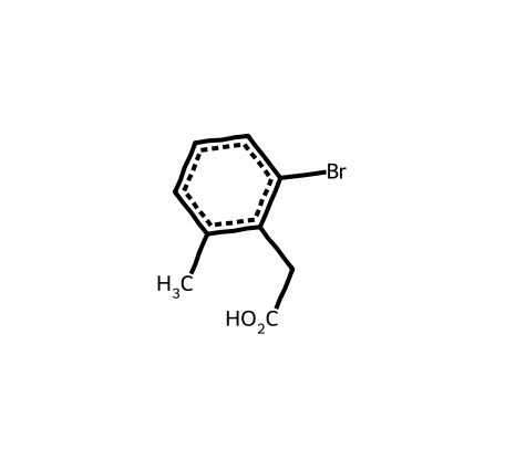 Cc1cccc(Br)c1CC(=O)O